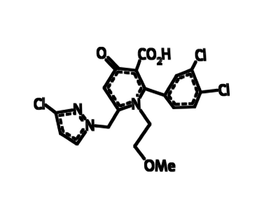 COCCn1c(Cn2ccc(Cl)n2)cc(=O)c(C(=O)O)c1-c1ccc(Cl)c(Cl)c1